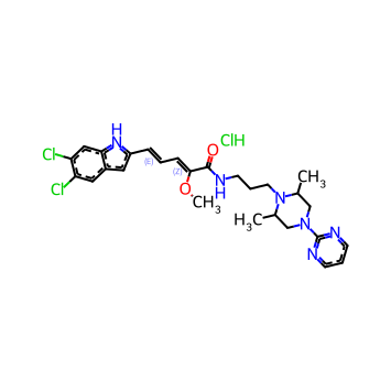 CO/C(=C\C=C\c1cc2cc(Cl)c(Cl)cc2[nH]1)C(=O)NCCCN1C(C)CN(c2ncccn2)CC1C.Cl